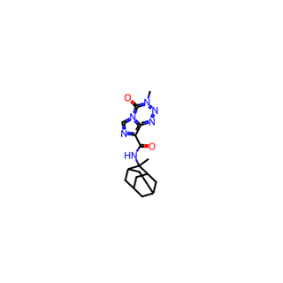 Cn1nnc2c(C(=O)NC3(C)C4CC5CC(C4)CC3C5)ncn2c1=O